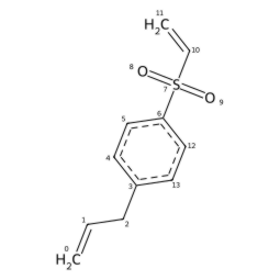 C=CCc1ccc(S(=O)(=O)C=C)cc1